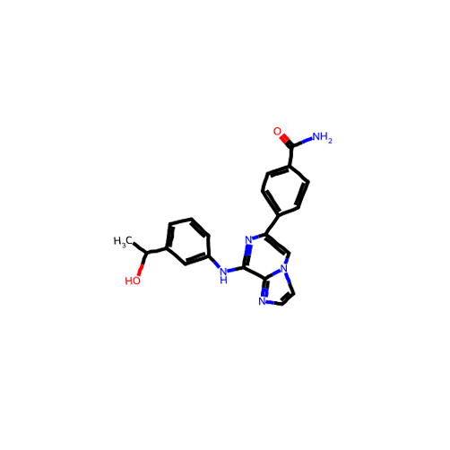 CC(O)c1cccc(Nc2nc(-c3ccc(C(N)=O)cc3)cn3ccnc23)c1